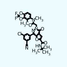 Cc1c(N(C)C(=O)Cn2nc(-c3cc(Cl)cc(C#N)c3)c3oc(C(=O)NC(C)(C)C)cc3c2=O)ccc2c1OC(F)(F)O2